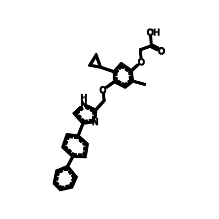 Cc1cc(OCc2nc(-c3ccc(-c4ccccc4)cc3)c[nH]2)c(C2CC2)cc1OCC(=O)O